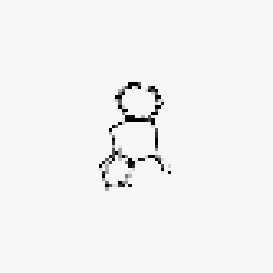 O=C1Cc2ccccc2Cn2ccnc21